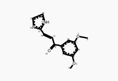 COc1cc(OC)cc(C(=O)C=Cc2ncc[nH]2)c1